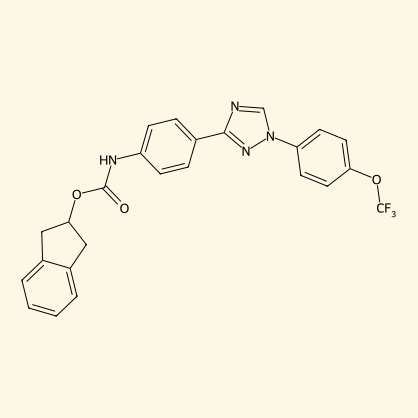 O=C(Nc1ccc(-c2ncn(-c3ccc(OC(F)(F)F)cc3)n2)cc1)OC1Cc2ccccc2C1